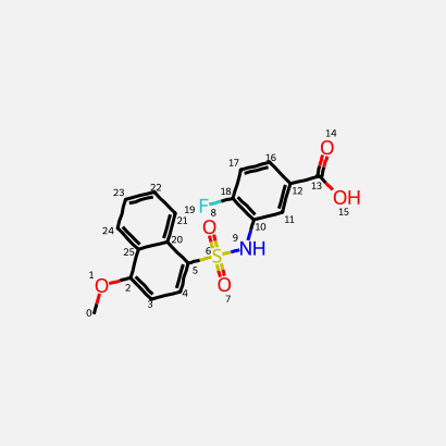 COc1ccc(S(=O)(=O)Nc2cc(C(=O)O)ccc2F)c2ccccc12